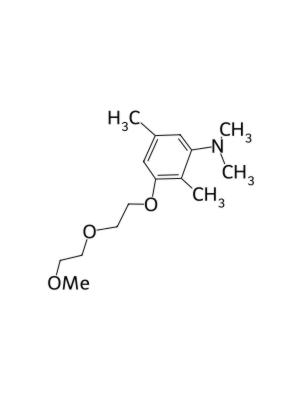 COCCOCCOc1cc(C)cc(N(C)C)c1C